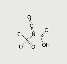 O=C=NS(=O)(=O)Cl.O=CO